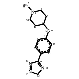 CC(C)N1CCC(Nc2ccc(C3=NCN=N3)cc2)CC1